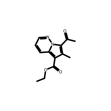 CCOC(=O)c1c(C)c(C(C)=O)n2ncccc12